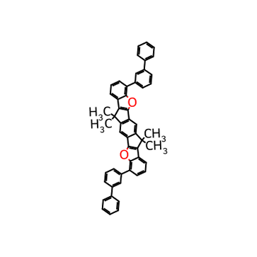 CC1(C)c2cc3c(cc2-c2oc4c(-c5cccc(-c6ccccc6)c5)cccc4c21)C(C)(C)c1c-3oc2c(-c3cccc(-c4ccccc4)c3)cccc12